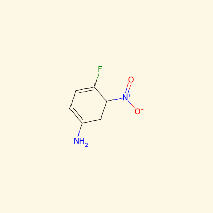 NC1=CC=C(F)C([N+](=O)[O-])C1